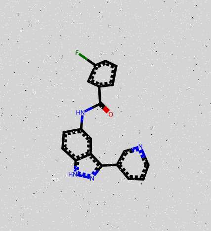 O=C(Nc1ccc2[nH]nc(-c3cccnc3)c2c1)c1cccc(F)c1